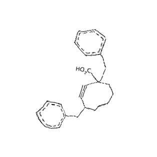 O=C(O)C1(Cc2ccccc2)C#CC(Cc2ccccc2)CCCC1